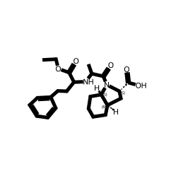 CCOC(=O)C(CCc1ccccc1)NC(C)C(=O)N1[C@H](C(=O)O)C[C@H]2CCCC[C@@H]21